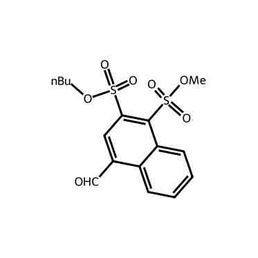 CCCCOS(=O)(=O)c1cc(C=O)c2ccccc2c1S(=O)(=O)OC